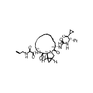 C=CCNC(=O)C(=O)[C@@H]1CCCCCCCCC[C@H](NC(=O)N[C@H](C(=O)C2CC2)C(C)C)C(=O)N2C[C@@H]3C[C@@H]3[C@H]2C(=O)N1